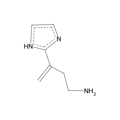 C=C(CCN)c1ncc[nH]1